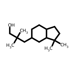 CC(C)(CO)CC1CCC2CCC(C)(C)C2C1